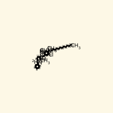 [2H]C([2H])(c1ccccc1)N1CC[C@@H](NC(=O)c2cc(Cl)c(N(C)CCCCCCCCCCCCC)cc2OC)[C@H]1C